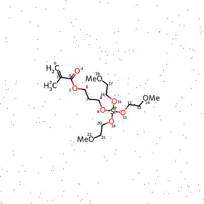 C=C(C)C(=O)OCCCO[Si](OCCOC)(OCCOC)OCCOC